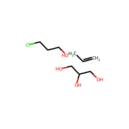 C=CC.OCC(O)CO.OCCCCl